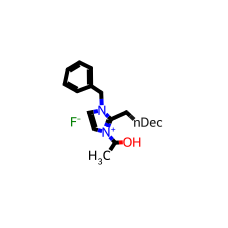 CCCCCCCCCCCc1n(Cc2ccccc2)cc[n+]1C(C)O.[F-]